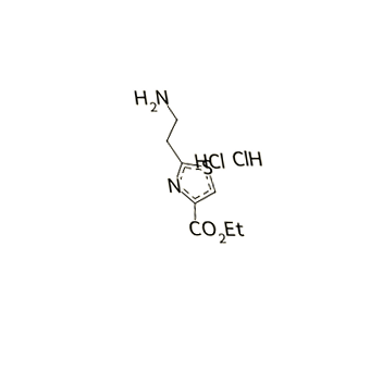 CCOC(=O)c1csc(CCN)n1.Cl.Cl